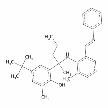 CCCC(C)(Pc1c(C)cccc1/C=N/c1ccccc1)c1cc(C(C)(C)C)cc(C)c1O